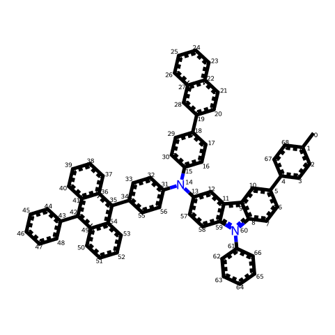 Cc1ccc(-c2ccc3c(c2)c2cc(N(c4ccc(-c5ccc6ccccc6c5)cc4)c4ccc(-c5c6ccccc6c(-c6ccccc6)c6ccccc56)cc4)ccc2n3-c2ccccc2)cc1